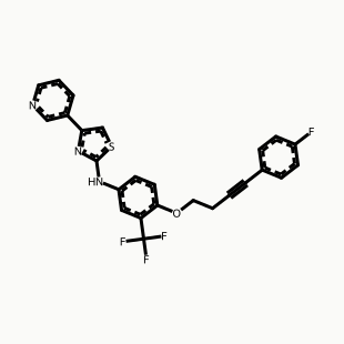 Fc1ccc(C#CCCOc2ccc(Nc3nc(-c4cccnc4)cs3)cc2C(F)(F)F)cc1